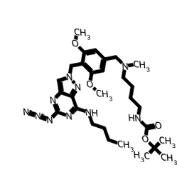 CCCCNc1nc(N=[N+]=[N-])nc2cn(Cc3c(OC)cc(CN(C)CCCCNC(=O)OC(C)(C)C)cc3OC)nc12